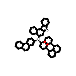 c1ccc(-c2cccc3cccc(-c4ccc(N(c5ccc6c(ccc7ccccc76)c5)c5cc6sc7ccccc7c6c6ccccc56)cc4)c23)cc1